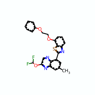 Cc1cc(-c2nc3cccc(OCCOc4ccccc4)c3s2)c2ncc(OC(F)F)nc2c1